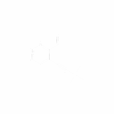 C[Si](C)(C)C#Cc1cccnc1C=O